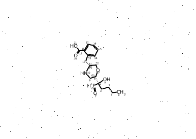 CCCCC(O)([PH2]=O)[C@@H]1CN[C@H](Cc2ccccc2C(=O)O)CO1